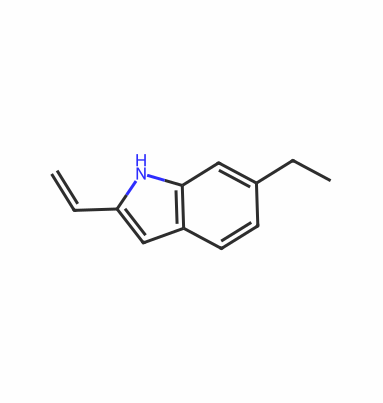 C=Cc1cc2ccc(CC)cc2[nH]1